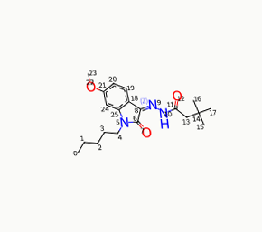 CCCCCN1C(=O)/C(=N\NC(=O)CC(C)(C)C)c2ccc(OC)cc21